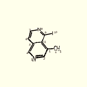 Cc1cncc2ccnc(I)c12